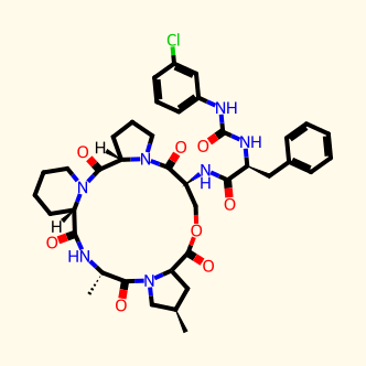 C[C@@H]1CC2C(=O)OC[C@H](NC(=O)[C@H](Cc3ccccc3)NC(=O)Nc3cccc(Cl)c3)C(=O)N3CCC[C@H]3C(=O)N3CCCC[C@H]3C(=O)N[C@@H](C)C(=O)N2C1